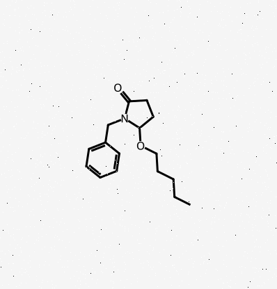 CCCCCOC1CCC(=O)N1Cc1ccccc1